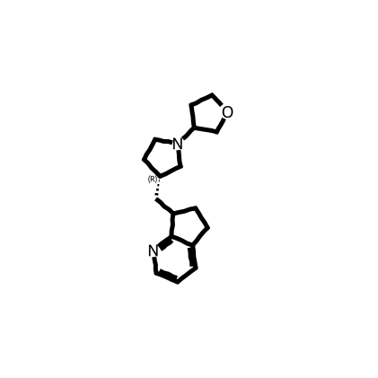 c1cnc2c(c1)CCC2C[C@@H]1CCN(C2CCOC2)C1